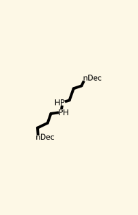 CCCCCCCCCCCCCPPCCCCCCCCCCCCC